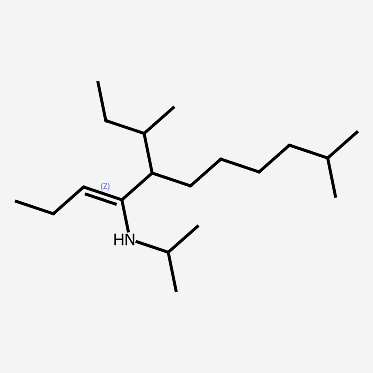 CC/C=C(\NC(C)C)C(CCCCC(C)C)C(C)CC